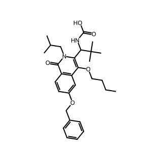 CCCCOc1c(C(NC(=O)O)C(C)(C)C)n(CC(C)C)c(=O)c2ccc(OCc3ccccc3)cc12